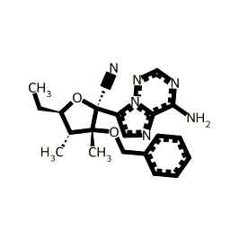 CC[C@H]1O[C@@](C#N)(c2cnc3c(N)ncnn23)[C@](C)(OCc2ccccc2)[C@@H]1C